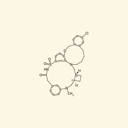 CN1C[C@@H]2CC[C@H]2CN2CCCCc3cc(Cl)ccc3COc3ccc(cc32)S(=O)(=O)NC(=O)Cc2cccc1c2